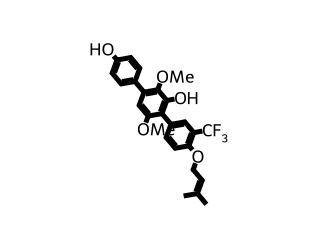 COc1cc(-c2ccc(O)cc2)c(OC)c(O)c1-c1ccc(OCC=C(C)C)c(C(F)(F)F)c1